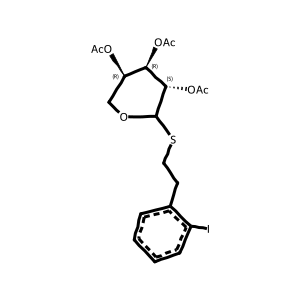 CC(=O)O[C@H]1[C@H](OC(C)=O)C(SCCc2ccccc2I)OC[C@H]1OC(C)=O